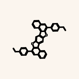 CCc1ccc(-c2cc3ccccc3c3c2oc2cc4c(cc23)oc2c(-c3ccc(CC)cc3)cc3ccccc3c24)cc1